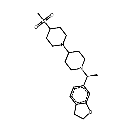 C[C@@H](c1ccc2c(c1)OCC2)N1CCC(N2CCC(S(C)(=O)=O)CC2)CC1